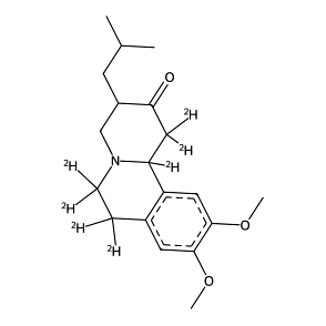 [2H]C1([2H])C(=O)C(CC(C)C)CN2C([2H])([2H])C([2H])([2H])c3cc(OC)c(OC)cc3C21[2H]